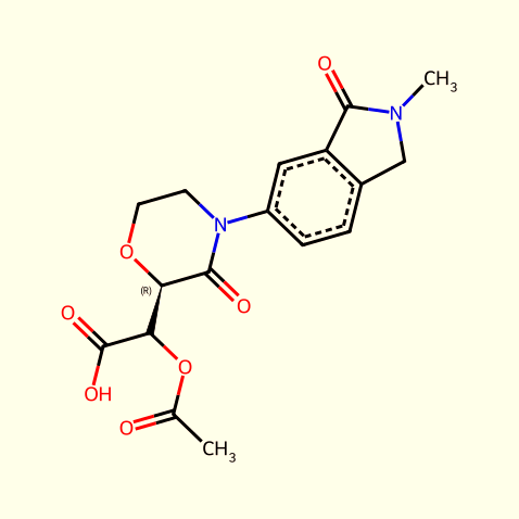 CC(=O)OC(C(=O)O)[C@H]1OCCN(c2ccc3c(c2)C(=O)N(C)C3)C1=O